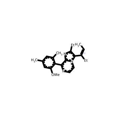 C/C=C(/CC)c1c(CC)nc2c(-c3c(C)cc(C)cc3OC)nccn12